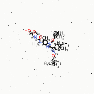 Cc1cc2c(cc1N(C)C(=O)CN1CCO[C@H](CO)C1)nc(-c1nn(COCC[Si](C)(C)C)c3c1C[C@@H]1[C@H](C)[C@]1(C)C3)n2COCC[Si](C)(C)C